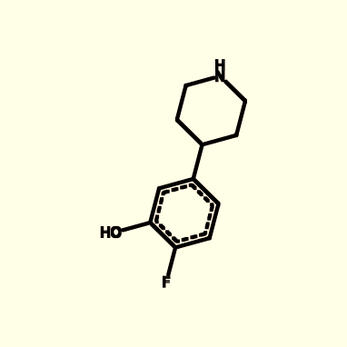 Oc1cc(C2CCNCC2)ccc1F